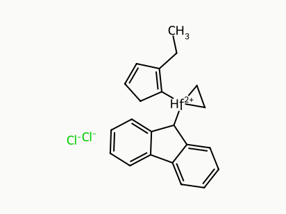 CCC1=[C]([Hf+2]2([CH]3c4ccccc4-c4ccccc43)[CH2][CH2]2)CC=C1.[Cl-].[Cl-]